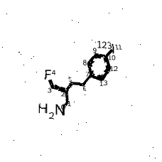 NC/C(=C/F)CCc1ccc([123I])cc1